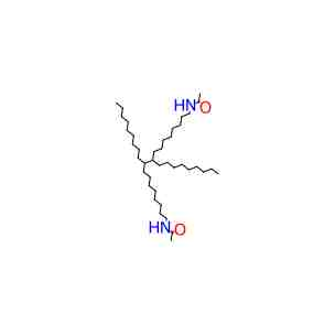 CCCCCCCCCC(CCCCCCCCNC(C)=O)C(CCCCCCCCC)CCCCCCCCNC(C)=O